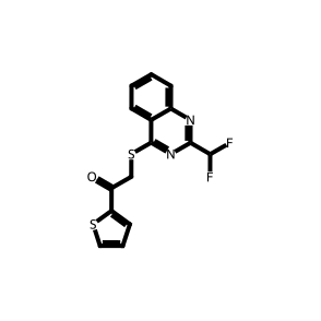 O=C(CSc1nc(C(F)F)nc2ccccc12)c1cccs1